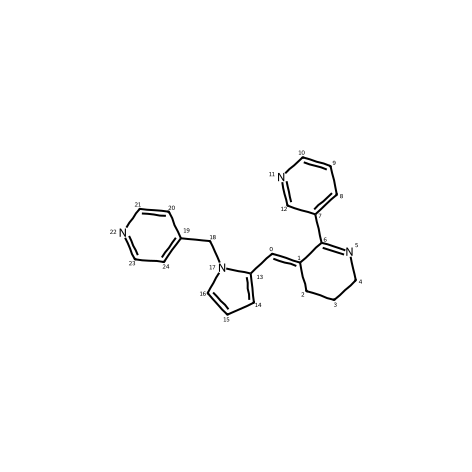 C(=C1/CCCN=C1c1cccnc1)/c1cccn1Cc1ccncc1